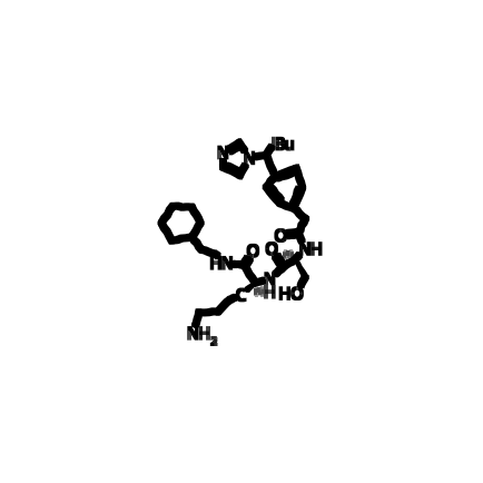 CCC(C)C(c1ccc(CC(=O)N[C@@H](CO)C(=O)N[C@@H](CCCCN)C(=O)NCCC2CCCCC2)cc1)n1ccnc1